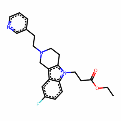 CCOC(=O)CCn1c2c(c3cc(F)ccc31)CN(CCc1cccnc1)CC2